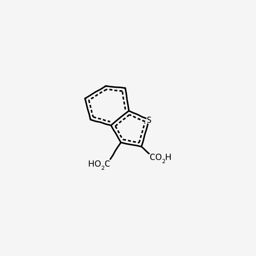 O=C(O)c1sc2ccccc2c1C(=O)O